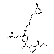 CCOC(=O)c1cccc(C(=O)c2ccc(OCCCC/C=C/c3cccc(OC)c3)c(CCC(=O)O)c2)c1